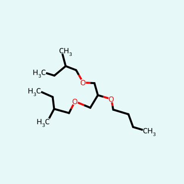 CCCCOC(COCC(C)CC)COCC(C)CC